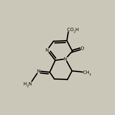 CC1CC/C(=N\N)c2ncc(C(=O)O)c(=O)n21